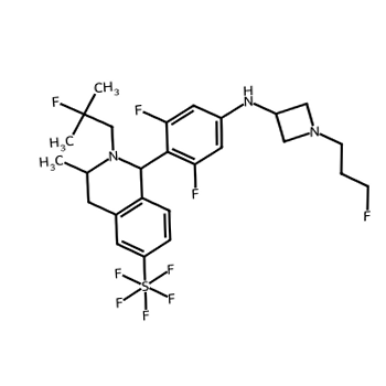 CC1Cc2cc(S(F)(F)(F)(F)F)ccc2C(c2c(F)cc(NC3CN(CCCF)C3)cc2F)N1CC(C)(C)F